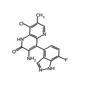 Cc1cnc2c(-c3ccc(F)c4[nH]ncc34)c(N)c(=O)[nH]c2c1Cl